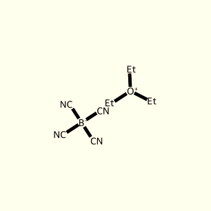 CC[O+](CC)CC.N#C[B-](C#N)(C#N)C#N